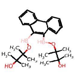 CC(C)(O)C(C)(C)OBc1c(BOC(C)(C)C(C)(C)O)c2ccccc2c2ccccc12